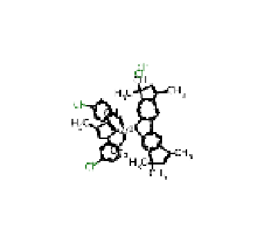 CC1=CC(C)[C]([Zr+2](=[CH]c2ccc(Cl)cc2)(=[CH]c2ccc(Cl)cc2)[CH]2c3cc4c(cc3-c3cc5c(cc32)C(C)(C)C=C5C)C(C)=CC4(C)C)=C1C.[Cl-].[Cl-]